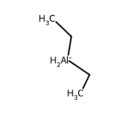 C[CH2][AlH2-][CH2]C